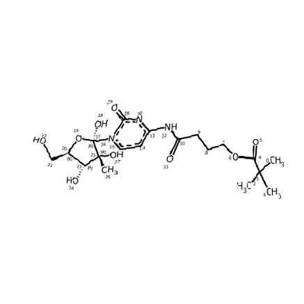 CC(C)(C)C(=O)OCCCC(=O)Nc1ccn([C@]2(O)O[C@H](CO)[C@@H](O)[C@@]2(C)O)c(=O)n1